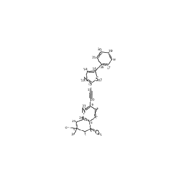 CC1(C)CC(=O)c2ccc(C#Cc3ncc(-c4ccccc4)s3)nc2C1